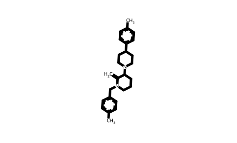 C=C1C(N2CCC(c3ccc(C)cc3)CC2)CCCN1Cc1ccc(C)cc1